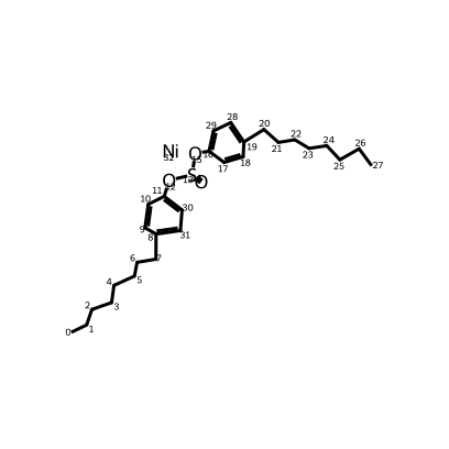 CCCCCCCCc1ccc(OS(=O)Oc2ccc(CCCCCCCC)cc2)cc1.[Ni]